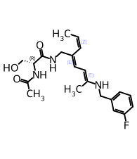 C\C=C/C(=C\C=C(/C)NCc1cccc(F)c1)CNC(=O)[C@@H](CO)NC(C)=O